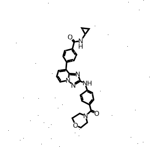 O=C(NC1CC1)c1ccc(-c2cccn3nc(Nc4ccc(C(=O)N5CCOCC5)cc4)nc23)cc1